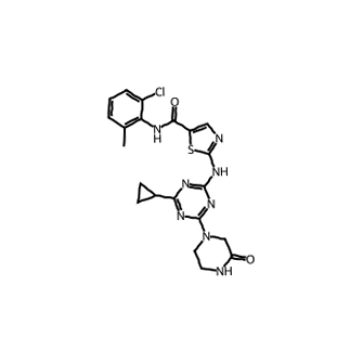 Cc1cccc(Cl)c1NC(=O)c1cnc(Nc2nc(C3CC3)nc(N3CCNC(=O)C3)n2)s1